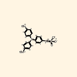 CC(C)(C)c1ccc([S+](c2ccc(C(C)(C)C)cc2)c2ccc(C(C)(C)C)cc2)cc1.O=S(=O)([O-])C(F)(F)F